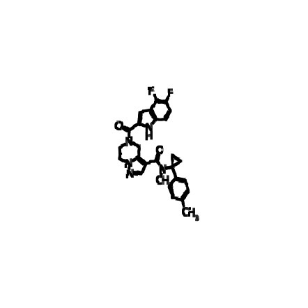 Cc1ccc(C2(N(C)C(=O)c3cnn4c3CN(C(=O)c3cc5c(F)c(F)ccc5[nH]3)CC4)CC2)cc1